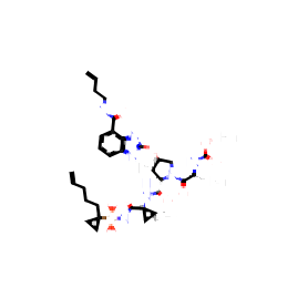 C=CCCCC1(S(=O)(=O)NC(=O)[C@@]2(NC(=O)[C@@H]3C[C@@H](Oc4nc5c(C(=O)NCCC=C)cccc5n4C(C)C)CN3C(=O)[C@@H](NC(=O)OC(C)(C)C)C(C)(C)C)C[C@H]2CC)CC1